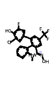 COc1ccccc1-c1c(/C(N)=N/O)cc(C(F)(F)F)cc1-c1cc(F)c(O)c(Cl)c1